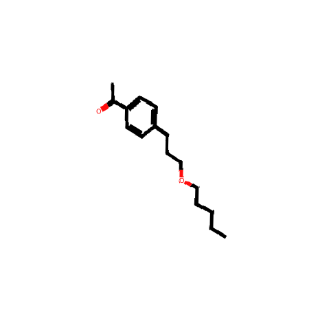 CCCCCOCCCc1ccc(C(C)=O)cc1